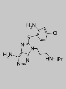 CC(C)NCCCn1c(Sc2ccc(Cl)cc2N)nc2c(N)ncnc21